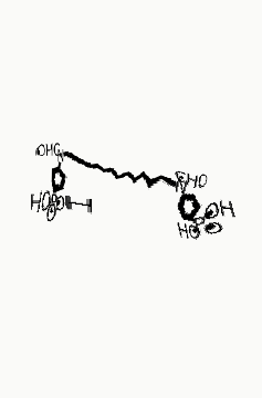 O=CN(CCCCCCCCCCCCN(C=O)c1ccc(P(=O)(O)O)cc1)c1ccc(P(=O)(O)O)cc1